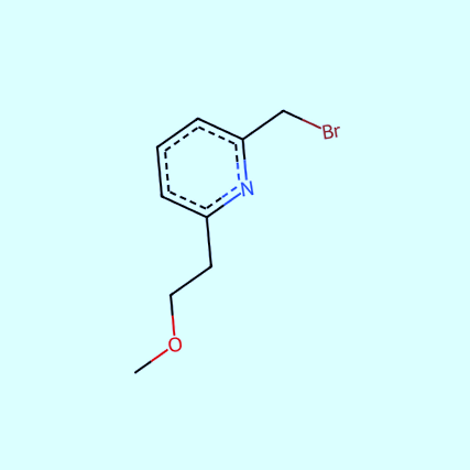 COCCc1cccc(CBr)n1